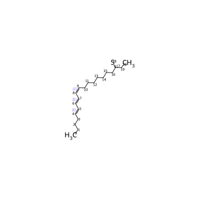 CCCC/C=C/C=C/C=C\CCCCCCCC(=S)CC